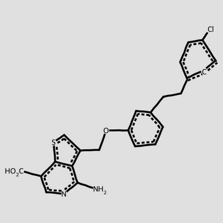 Nc1ncc(C(=O)O)c2scc(COc3cccc(CCc4ccc(Cl)cc4)c3)c12